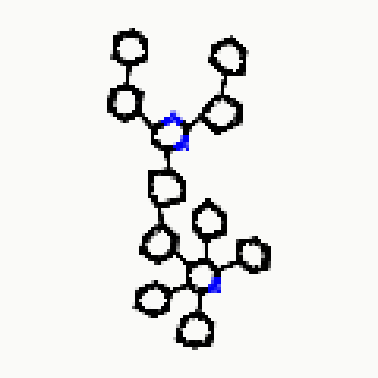 c1ccc(-c2cccc(-c3cc(-c4ccc(-c5cccc(-c6c(-c7ccccc7)c(-c7ccccc7)nc(-c7ccccc7)c6-c6ccccc6)c5)cc4)nc(-c4cccc(-c5ccccc5)c4)n3)c2)cc1